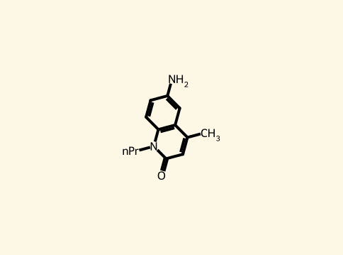 CCCn1c(=O)cc(C)c2cc(N)ccc21